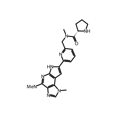 CNc1nc2[nH]c(-c3cccc(CN(C)C(=O)[C@@H]4CCCN4)n3)cc2c2c1ncn2C